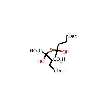 CCCCCCCCCCCCC(O)(SC(O)(CCCCCCCCCCCC)C(=O)O)C(=O)O